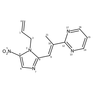 C=CCn1c([N+](=O)[O-])cnc1C=C(C)c1ncccn1